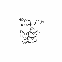 CCONOCC.CCONOCC.CCONOCC.O=C(O)CC(O)(CC(=O)O)C(=O)O